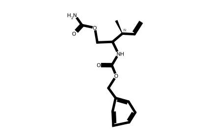 C=C[C@H](C)C(COC(N)=O)NC(=O)OCc1ccccc1